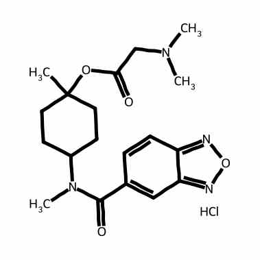 CN(C)CC(=O)OC1(C)CCC(N(C)C(=O)c2ccc3nonc3c2)CC1.Cl